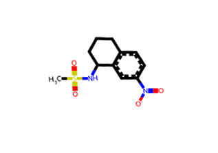 CS(=O)(=O)NC1CCCc2ccc([N+](=O)[O-])cc21